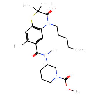 COCCCCN1C(=O)C(C)(C(=O)O)Sc2cc(C(F)(F)F)c(C(=O)N(C(C)C)[C@@H]3CCCN(C(=O)OC(C)(C)C)C3)cc21